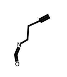 C#CCCN=C=O